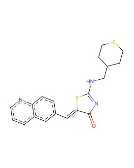 O=C1N=C(NCC2CCSCC2)S/C1=C\c1ccc2ncccc2c1